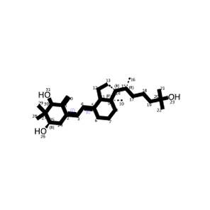 C=C1/C(=C\C=C2/CCC[C@@]3(C)C2CC[C@@H]3[C@H](C)CCCC(C)(C)O)C[C@@H](O)C(C)(C)C1O